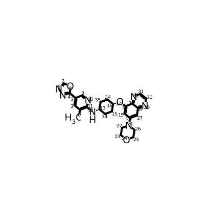 Cc1cc(-c2nnco2)cnc1N[C@H]1CC[C@@H](Oc2cc(N3CCOCC3)cc3nccnc23)CC1